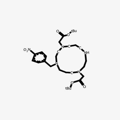 CC(C)(C)OC(=O)CN1CCCN(Cc2ccc([N+](=O)[O-])cc2)CCN(CC(=O)OC(C)(C)C)CCCNCC1